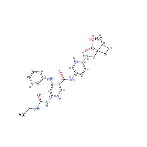 CCNC(=O)Nc1cc(Nc2cccnc2)c(C(=O)Nc2ccc(NCC3(C(=O)O)CCC3C)nc2)cn1